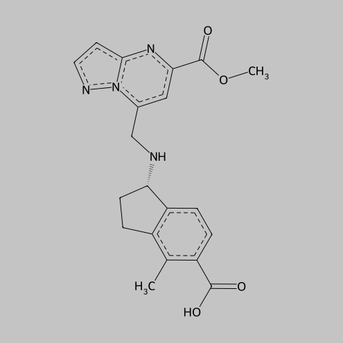 COC(=O)c1cc(CN[C@H]2CCc3c2ccc(C(=O)O)c3C)n2nccc2n1